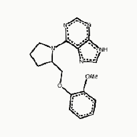 COc1ccccc1OCC1CCCN1c1ncnc2[nH]cnc12